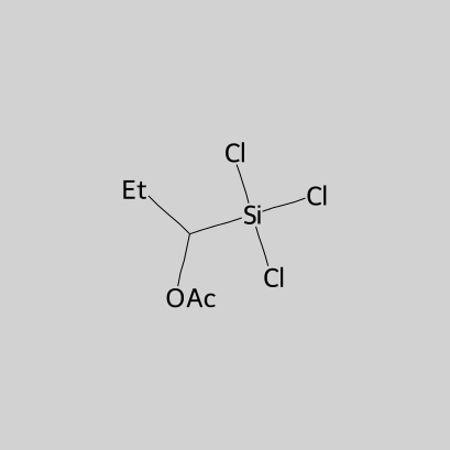 CCC(OC(C)=O)[Si](Cl)(Cl)Cl